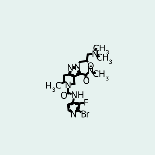 CC1Cc2nn3c(c2CN1C(=O)Nc1ccnc(Br)c1F)C(=O)N(C)OC(CN(C)C)C3